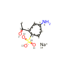 CC(=O)c1cc(N)ccc1S(=O)(=O)[O-].[Na+]